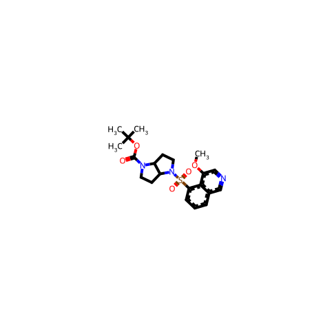 COc1cncc2cccc(S(=O)(=O)N3CCC4C3CCN4C(=O)OC(C)(C)C)c12